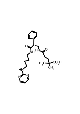 CC(C)(CCC(=O)NC[C@@H](C(=O)NCCCCNc1ncccn1)c1ccccc1)C(=O)O